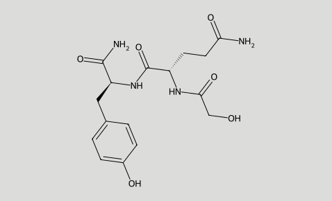 NC(=O)CC[C@H](NC(=O)CO)C(=O)N[C@@H](Cc1ccc(O)cc1)C(N)=O